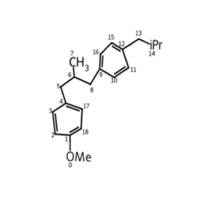 COc1ccc(CC(C)Cc2ccc(CC(C)C)cc2)cc1